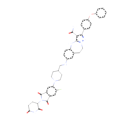 NC(=O)c1c(-c2ccc(Oc3ccccc3)cc2)nn2c1Nc1ccc(NCC3CCN(c4cc5c(cc4F)C(=O)N(C4CCC(=O)NC4=O)C5=O)CC3)cc1CC2